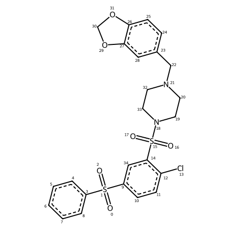 O=S(=O)(c1ccccc1)c1ccc(Cl)c(S(=O)(=O)N2CCN(Cc3ccc4c(c3)OCO4)CC2)c1